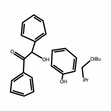 CC(C)COCC(C)C.O=C(c1ccccc1)C(O)c1ccccc1.Oc1ccccc1